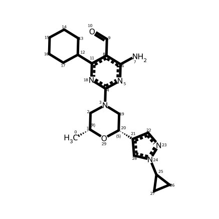 C[C@@H]1CN(c2nc(N)c(C=O)c(C3CCCCC3)n2)C[C@H](c2cnn(C3CC3)c2)O1